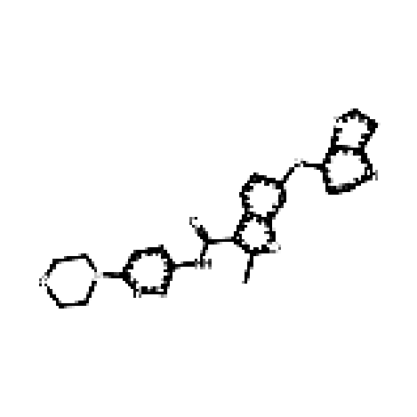 Cc1oc2cc(Oc3ccnc4ccsc34)ccc2c1C(=O)Nc1ccc(N2CCOCC2)nc1